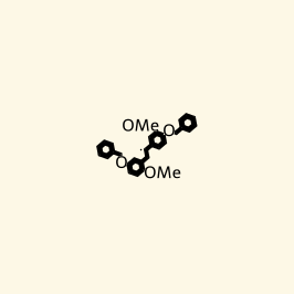 COc1ccc(OCc2ccccc2)cc1C[CH]c1ccc(OCc2ccccc2)c(OC)c1